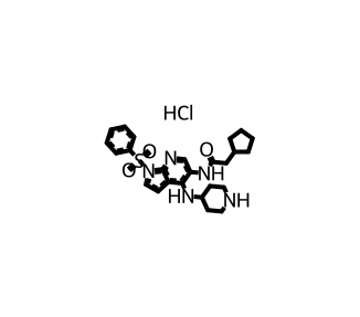 Cl.O=C(CC1CCCC1)Nc1cnc2c(ccn2S(=O)(=O)c2ccccc2)c1NC1CCNCC1